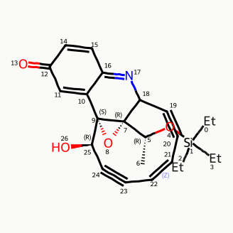 CC[Si](CC)(CC)O[C@H](C)[C@@]12O[C@]13C1=CC(=O)C=CC1=NC2C#C/C=C\C#C[C@H]3O